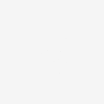 C=C(C(=O)OC)C1C2CC3CC(C2)CC1C3.C=CC(=O)O